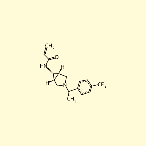 C=CC(=O)N[C@H]1[C@@H]2CN([C@H](C)c3ccc(C(F)(F)F)cc3)C[C@@H]21